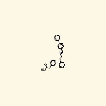 O=C(O)Cc1cccc(-c2ccccc2OC/C=C/c2ccc(-c3ccccc3)cc2)c1